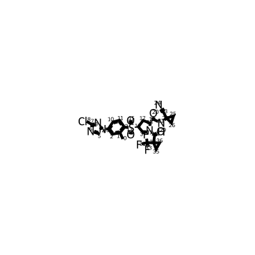 Cc1cc(-n2cnc(Cl)n2)ccc1S(=O)(=O)[C@@H]1C[C@H](C(=O)NC2(C#N)CC2)N(C(=O)C2(C(F)(F)F)CC2)C1